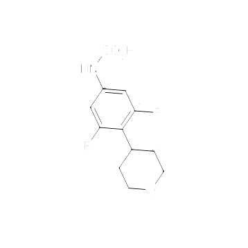 O=C(O)Nc1cc(F)c(C2CCOCC2)c(F)c1